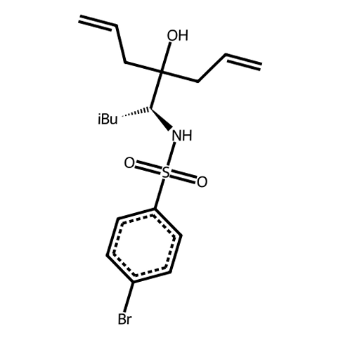 C=CCC(O)(CC=C)[C@@H](NS(=O)(=O)c1ccc(Br)cc1)[C@@H](C)CC